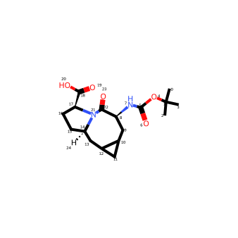 CC(C)(C)OC(=O)N[C@H]1CC2CC2C[C@H]2CC[C@@H](C(=O)O)N2C1=O